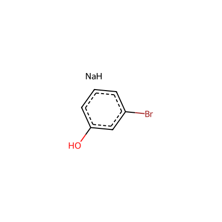 Oc1cccc(Br)c1.[NaH]